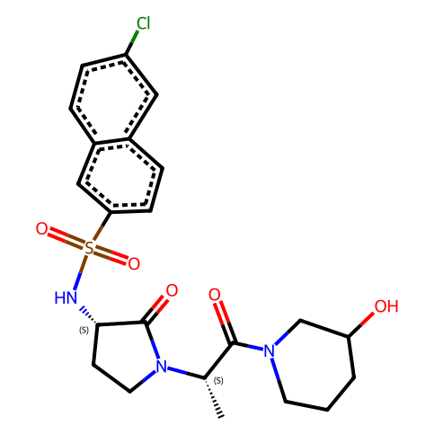 C[C@@H](C(=O)N1CCCC(O)C1)N1CC[C@H](NS(=O)(=O)c2ccc3cc(Cl)ccc3c2)C1=O